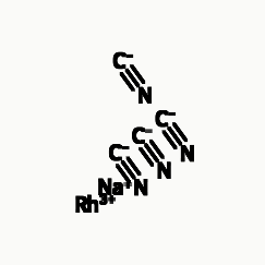 [C-]#N.[C-]#N.[C-]#N.[C-]#N.[Na+].[Rh+3]